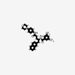 CN(C(=O)c1cc(C(F)(F)F)cc(C(F)(F)F)c1)C(CCC(=O)Nc1ccc(N2CCOCC2)cc1)Cc1ccc2ccccc2c1